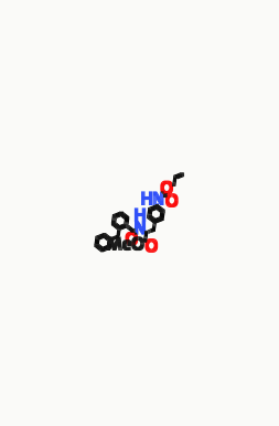 C=CCOC(=O)Nc1ccc(C[C@H](NC(=O)c2ccccc2Cc2ccccc2)C(=O)OC)cc1